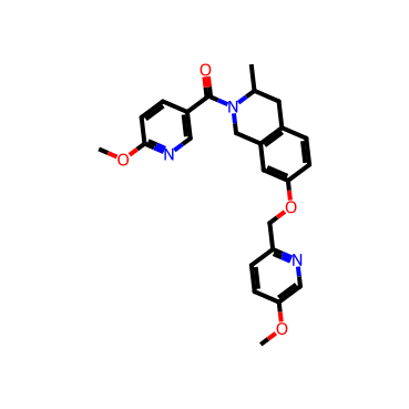 COc1ccc(COc2ccc3c(c2)CN(C(=O)c2ccc(OC)nc2)C(C)C3)nc1